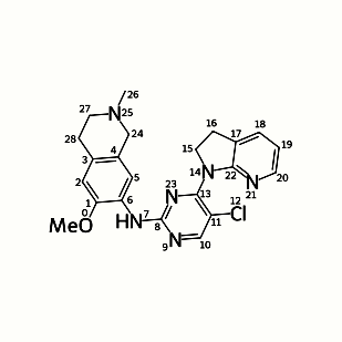 COc1cc2c(cc1Nc1ncc(Cl)c(N3CCc4cccnc43)n1)CN(C)CC2